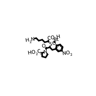 CCOc1ccc([N+](=O)[O-])cc1CC(SC(CCCCN)C(=O)O)C(=O)N1CCC[C@H]1C(=O)O